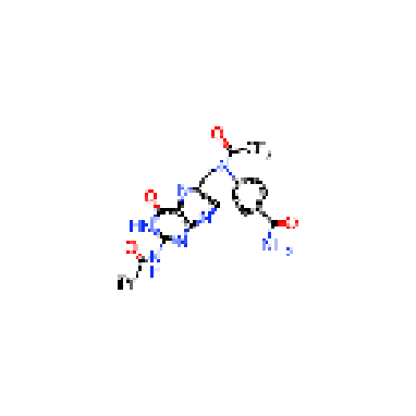 CC(C)C(=O)Nc1nc2ncc(CN(C(=O)C(F)(F)F)c3ccc(C(N)=O)cc3)nc2c(=O)[nH]1